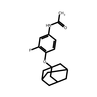 CC(=O)Nc1ccc(OC23CC4CC(CC(C4)C2)C3)c(F)c1